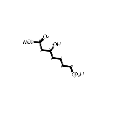 COC(=O)CC(O)CCCCC(=O)O